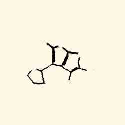 N#Cc1sc2sc(C#N)c(C3CCCO3)c2c1N